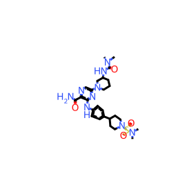 CN(C)C(=O)NC1CCCN(c2cnc(C(N)=O)c(Nc3ccc(C4CCN(S(=O)(=O)N(C)C)CC4)cc3)n2)C1